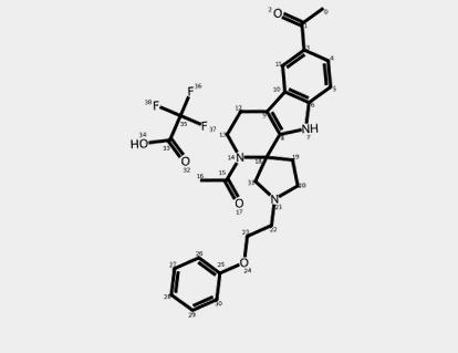 CC(=O)c1ccc2[nH]c3c(c2c1)CCN(C(C)=O)C31CCN(CCOc2ccccc2)C1.O=C(O)C(F)(F)F